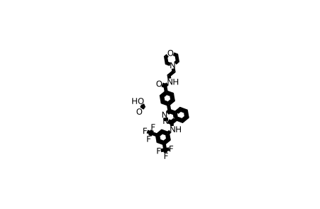 O=C(NCCN1CCOCC1)c1ccc(-c2nnc(Nc3cc(C(F)(F)F)cc(C(F)(F)F)c3)c3ccccc23)cc1.O=CO